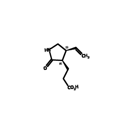 C=C[C@@H]1CNC(=O)[C@@H]1CCC(=O)O